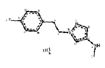 CNc1cnn(CCc2ccc(F)cc2)c1.Cl